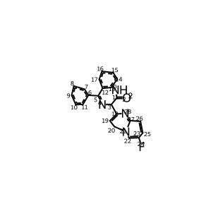 NC(=O)C(N=C(c1ccccc1)c1ccccc1)C1=CCN2C=C(F)C=CC2=N1